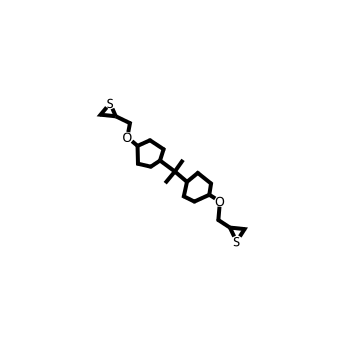 CC(C)(C1CCC(OCC2CS2)CC1)C1CCC(OCC2CS2)CC1